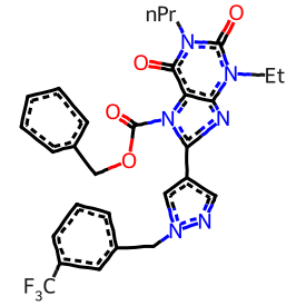 CCCn1c(=O)c2c(nc(-c3cnn(Cc4cccc(C(F)(F)F)c4)c3)n2C(=O)OCc2ccccc2)n(CC)c1=O